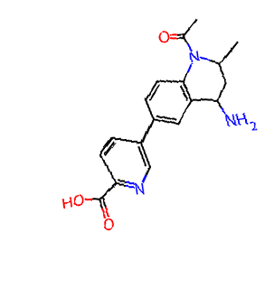 CC(=O)N1c2ccc(-c3ccc(C(=O)O)nc3)cc2C(N)CC1C